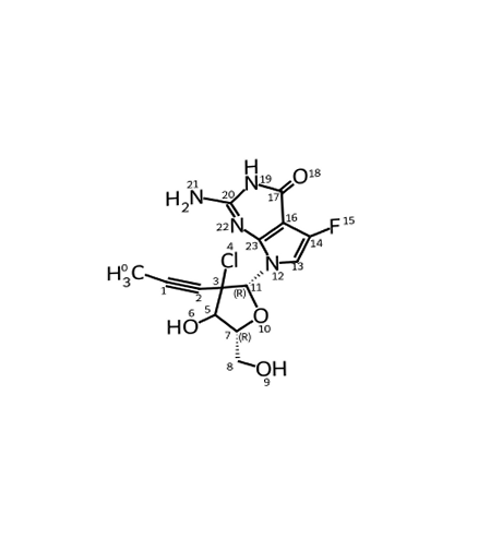 CC#CC1(Cl)C(O)[C@@H](CO)O[C@H]1n1cc(F)c2c(=O)[nH]c(N)nc21